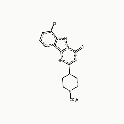 O=C(O)N1CCC(c2cc(=O)n3nc4c(Cl)cccc4c3[nH]2)CC1